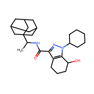 CC(NC(=O)c1nn(C2CCCCC2)c2c1CCCC2O)C12CC3CC(CC(C3)C1)C2